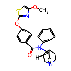 COc1csc(Oc2ccc(C(=O)N(c3ccccc3)[C@H]3CN4CCC3CC4)cc2)n1